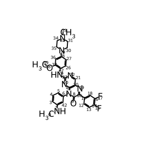 CNc1cccc(-n2c(=O)c(-c3ccc(F)c(F)c3)nc3cnc(Nc4ccc(N5CCN(C)CC5)cc4OC)nc32)c1